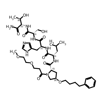 COCCOCCC(=O)N1C[C@H](OCCCCc2ccccc2)C[C@H]1C(=O)N[C@@H](CC(C)C)C(=O)N[C@@H](Cc1cnc[nH]1)C(=O)N[C@@H](CO)C(=O)N[C@H](C(N)=O)[C@@H](C)O